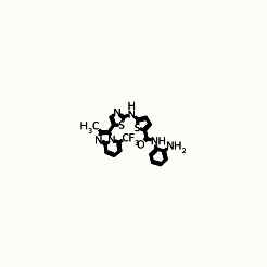 Cc1nc2cccc(C(F)(F)F)n2c1-c1cnc(Nc2ccc(C(=O)Nc3ccccc3N)s2)s1